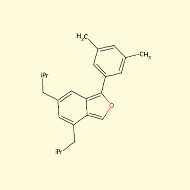 Cc1cc(C)cc(-c2occ3c(CC(C)C)cc(CC(C)C)cc23)c1